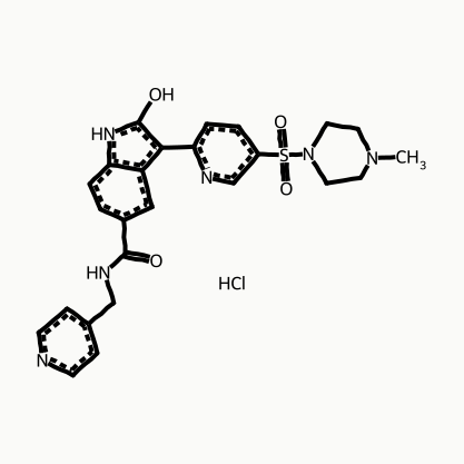 CN1CCN(S(=O)(=O)c2ccc(-c3c(O)[nH]c4ccc(C(=O)NCc5ccncc5)cc34)nc2)CC1.Cl